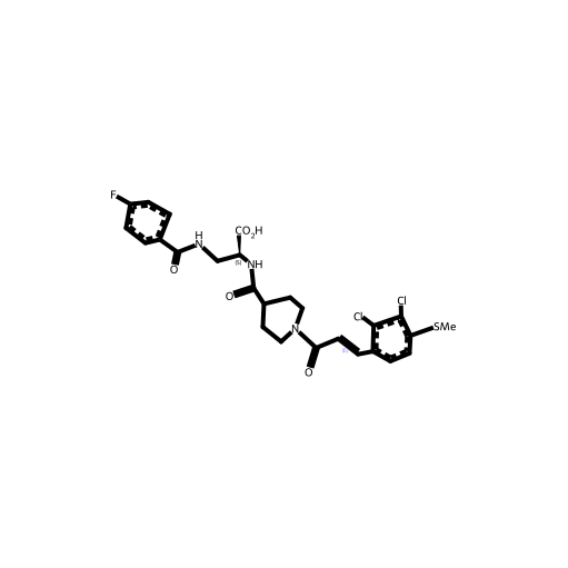 CSc1ccc(/C=C/C(=O)N2CCC(C(=O)N[C@@H](CNC(=O)c3ccc(F)cc3)C(=O)O)CC2)c(Cl)c1Cl